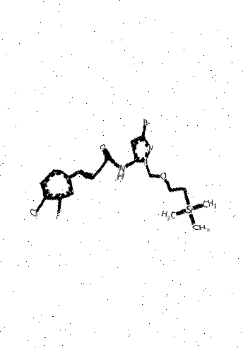 C[Si](C)(C)CCOCn1nc(Br)cc1NC(=O)C=Cc1ccc(Cl)c(F)c1